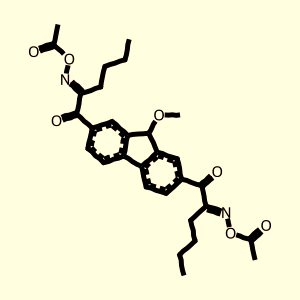 CCCC/C(=N\OC(C)=O)C(=O)c1ccc2c(c1)C(OC)c1cc(C(=O)/C(CCCC)=N/OC(C)=O)ccc1-2